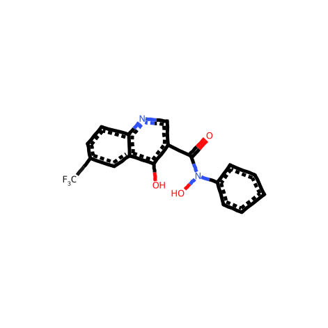 O=C(c1cnc2ccc(C(F)(F)F)cc2c1O)N(O)c1ccccc1